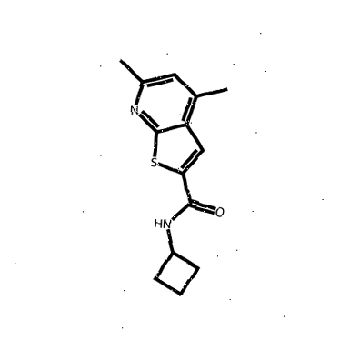 Cc1cc(C)c2cc(C(=O)NC3CCC3)sc2n1